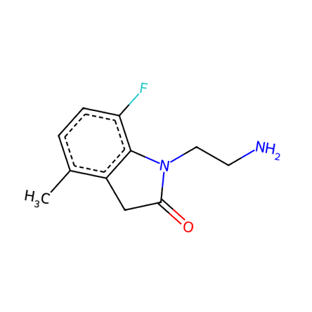 Cc1ccc(F)c2c1CC(=O)N2CCN